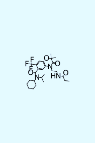 CCC(=O)NCCN1C(=O)C(C)(C)Oc2cc(C(F)(F)F)c(C(=O)N(C(C)C)C3CCCCC3)cc21